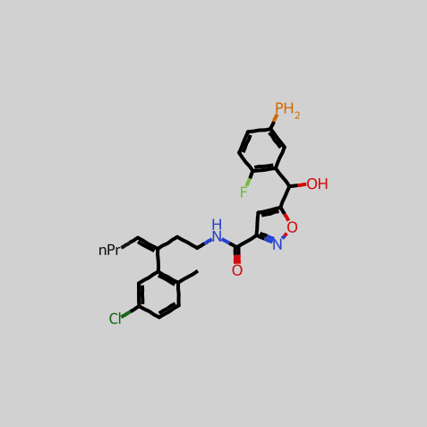 CCC/C=C(/CCNC(=O)c1cc(C(O)c2cc(P)ccc2F)on1)c1cc(Cl)ccc1C